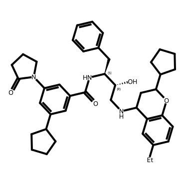 CCc1ccc2c(c1)C(NC[C@@H](O)[C@H](Cc1ccccc1)NC(=O)c1cc(C3CCCC3)cc(N3CCCC3=O)c1)CC(C1CCCC1)O2